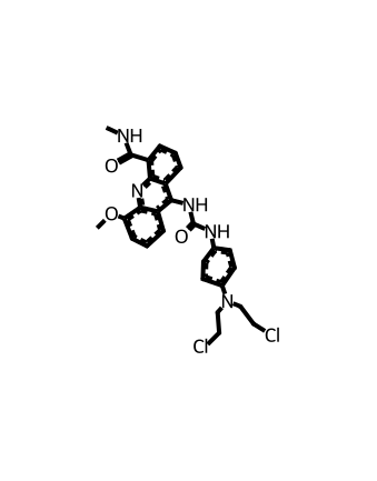 CNC(=O)c1cccc2c(NC(=O)Nc3ccc(N(CCCl)CCCl)cc3)c3cccc(OC)c3nc12